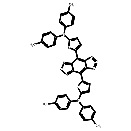 Cc1ccc(N(c2ccc(C)cc2)c2ccc(-c3c4c(c(-c5ccc(N(c6ccc(C)cc6)c6ccc(C)cc6)s5)c5nsnc35)N=S=N4)s2)cc1